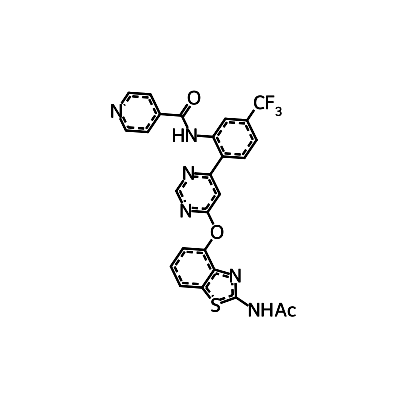 CC(=O)Nc1nc2c(Oc3cc(-c4ccc(C(F)(F)F)cc4NC(=O)c4ccncc4)ncn3)cccc2s1